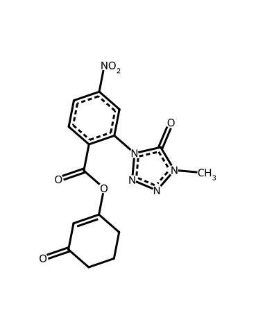 Cn1nnn(-c2cc([N+](=O)[O-])ccc2C(=O)OC2=CC(=O)CCC2)c1=O